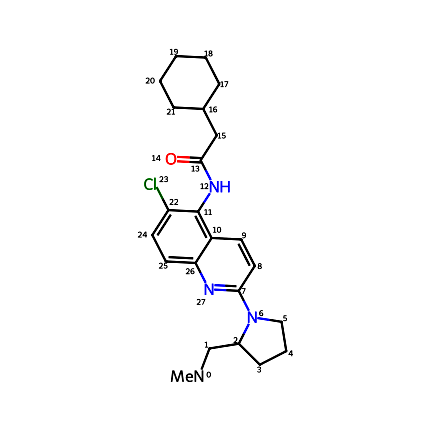 CNCC1CCCN1c1ccc2c(NC(=O)CC3CCCCC3)c(Cl)ccc2n1